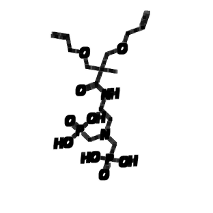 C=CCOCC(C)(COCC=C)C(=O)NCCN(CP(=O)(O)O)CP(=O)(O)O